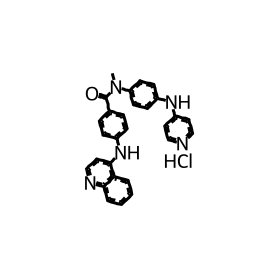 CN(C(=O)c1ccc(Nc2ccnc3ccccc23)cc1)c1ccc(Nc2ccncc2)cc1.Cl